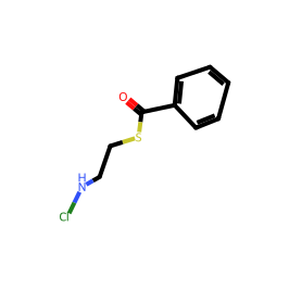 O=C(SCCNCl)c1ccccc1